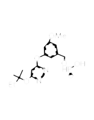 CCC(C)(C)Oc1cc(Oc2cc(CO[PH](=O)O)cc(OC)c2)ncn1